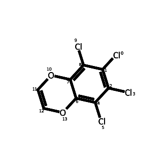 Clc1c(Cl)c(Cl)c2c(c1Cl)OC=CO2